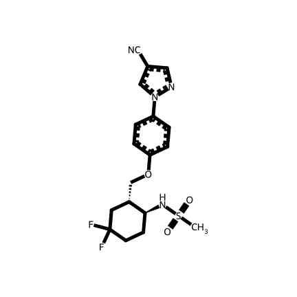 CS(=O)(=O)N[C@H]1CCC(F)(F)C[C@@H]1COc1ccc(-n2cc(C#N)cn2)cc1